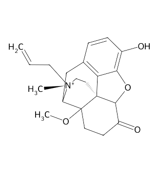 C=CC[N@+]1(C)CC[C@]23c4c5ccc(O)c4OC2C(=O)CCC3(OC)C1C5